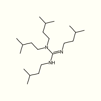 CC(C)CCN=C(NCCC(C)C)N(CCC(C)C)CCC(C)C